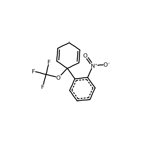 O=[N+]([O-])c1ccccc1C1(OC(F)(F)F)C=C[CH]C=C1